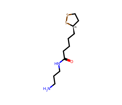 NCCCNC(=O)CCCC[C@@H]1CCSS1